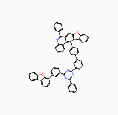 c1ccc(-c2nc(-c3cccc(-c4ccc(-c5c6c(cc7c(-c8ccccc8)nc8ccccc8c57)oc5ccccc56)cc4)c3)nc(-c3cccc(-c4cccc5c4oc4ccccc45)c3)n2)cc1